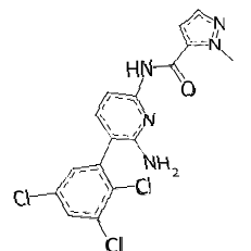 Cn1nccc1C(=O)Nc1ccc(-c2cc(Cl)cc(Cl)c2Cl)c(N)n1